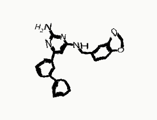 Nc1nc(NCc2ccc3c(c2)OCO3)cc(-c2cccc(-c3ccccc3)c2)n1